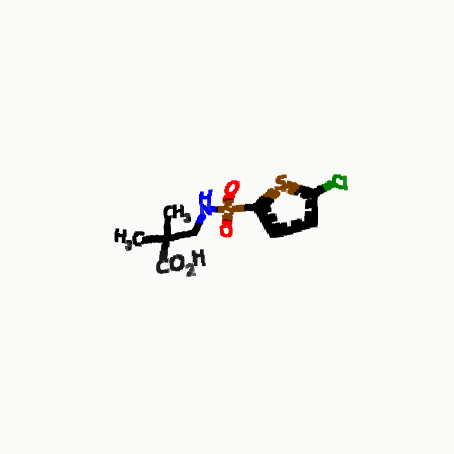 CC(C)(CNS(=O)(=O)c1ccc(Cl)s1)C(=O)O